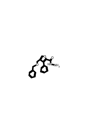 NNC(=O)c1occ(COCc2ccccc2)c1-c1ccccc1